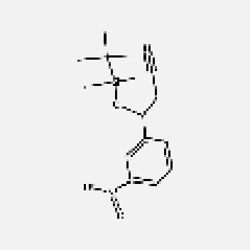 CC(C)(C)[Si](C)(C)OC(CC#N)c1cccc([N+](=O)[O-])c1